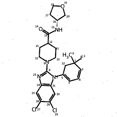 CC1(F)C=CC=C(n2c(N3CCC(C(=O)N[C@@H]4CCOC4)CC3)nc3cc(Cl)c(Cl)cc32)C1